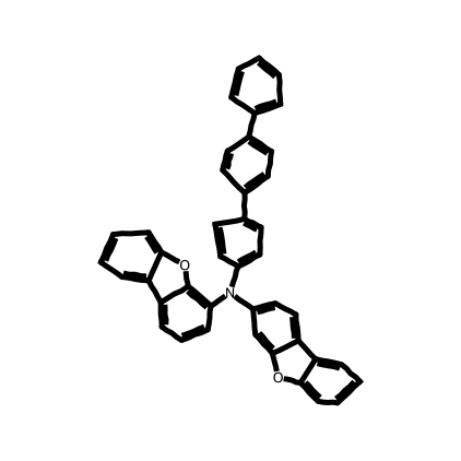 c1ccc(-c2ccc(-c3ccc(N(c4ccc5c(c4)oc4ccccc45)c4cccc5c4oc4ccccc45)cc3)cc2)cc1